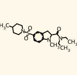 CCN(CC)C(=O)C1Cc2cc(S(=O)(=O)N3CCC(C)CC3)ccc2N1C